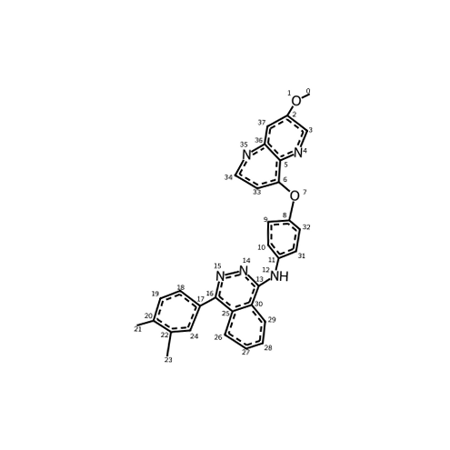 COc1cnc2c(Oc3ccc(Nc4nnc(-c5ccc(C)c(C)c5)c5ccccc45)cc3)ccnc2c1